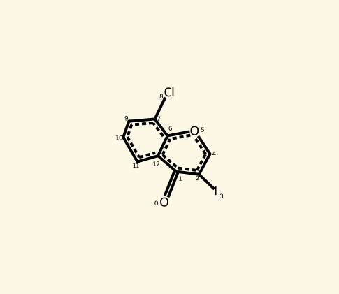 O=c1c(I)coc2c(Cl)cccc12